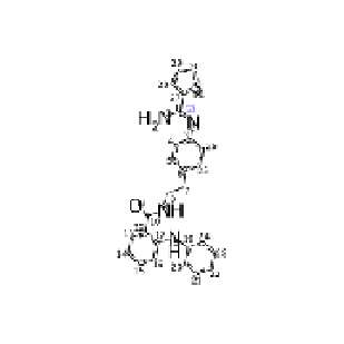 N/C(=N\c1ccc(CCNC(=O)c2ccccc2Nc2ccccc2)cc1)c1cccs1